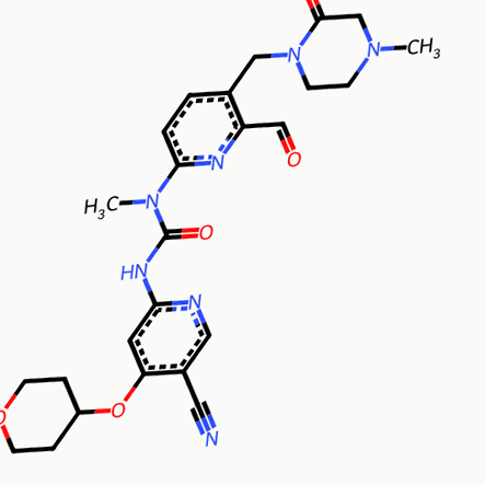 CN1CCN(Cc2ccc(N(C)C(=O)Nc3cc(OC4CCOCC4)c(C#N)cn3)nc2C=O)C(=O)C1